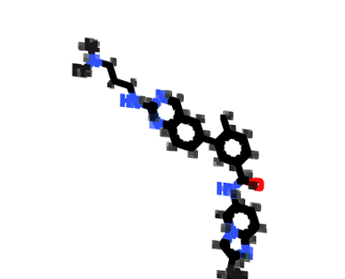 CCN(CC)CCCNc1ncc2cc(-c3cc(C(=O)Nc4ccc5nc(C(C)(C)C)cn5c4)ccc3C)ccc2n1